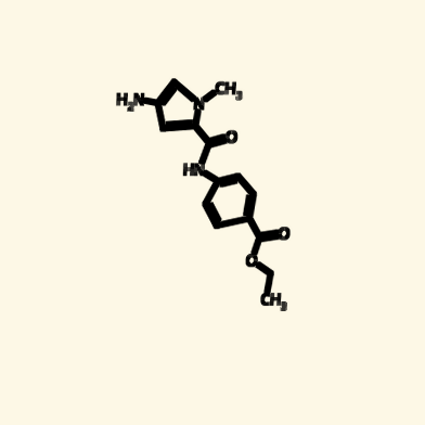 CCOC(=O)c1ccc(NC(=O)c2cc(N)cn2C)cc1